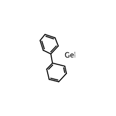 [Ge].c1ccc(-c2ccccc2)cc1